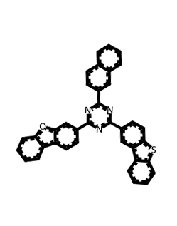 c1ccc2cc(-c3nc(-c4ccc5c(c4)oc4ccccc45)nc(-c4ccc5sc6ccccc6c5c4)n3)ccc2c1